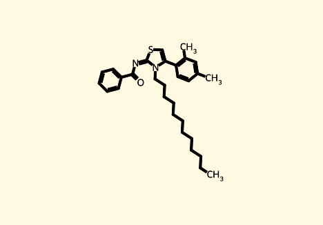 CCCCCCCCCCCCn1c(-c2ccc(C)cc2C)cs/c1=N/C(=O)c1ccccc1